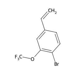 C=Cc1ccc(Br)c(OC(F)(F)F)c1